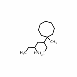 CCC(S)CC(CC)C1(C)CCCCCCC1